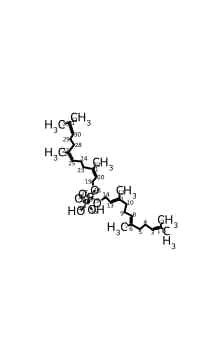 CC(C)=CCCC(C)=CCCC(C)=CCOP(=O)(OCC=C(C)CCC=C(C)CCC=C(C)C)P(=O)(O)O